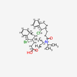 CC(C)N(C(=O)CCC1CCc2ccccc2C1Cl)C(C)C.O=C(O)CCC1CCc2ccccc2C1Br